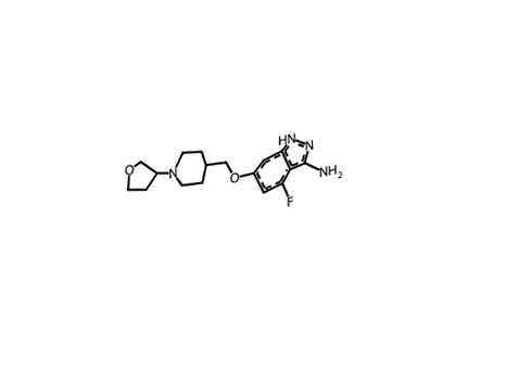 Nc1n[nH]c2cc(OCC3CCN(C4CCOC4)CC3)cc(F)c12